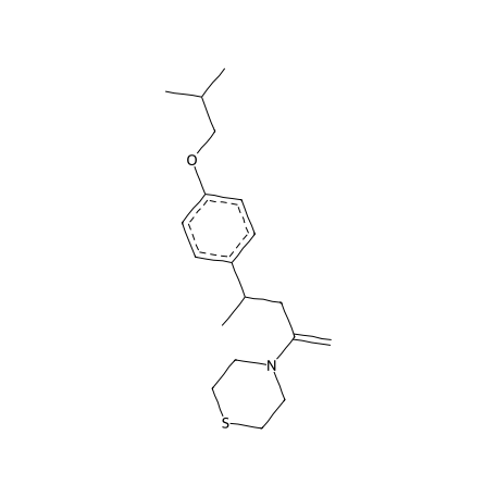 C=C(CC(C)c1ccc(OCC(C)C)cc1)N1CCSCC1